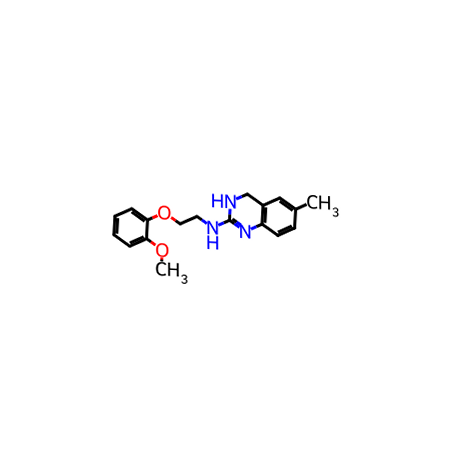 COc1ccccc1OCCNC1=Nc2ccc(C)cc2CN1